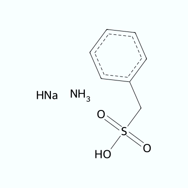 N.O=S(=O)(O)Cc1ccccc1.[NaH]